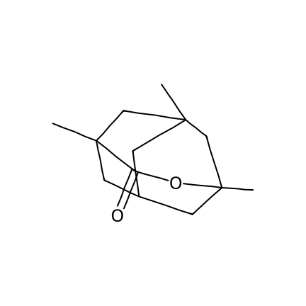 CC12CC3CC(C)(C1)OC(=O)C(C)(C3)C2